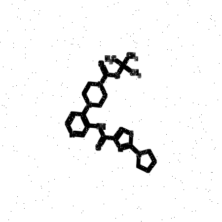 CC(C)(C)OC(=O)N1CCN(c2ccncc2NC(=O)c2csc(N3CCCC3)n2)CC1